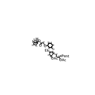 CCCCC[C@@H](CC[C@@H]1[C@@H](Cc2cccc(OCC(=O)O[C@@H]3CN4CCC3CC4)c2)[C@@H](CC)C[C@H]1OC(C)=O)OC(C)=O